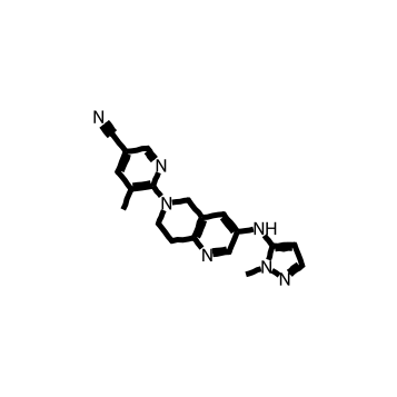 Cc1cc(C#N)cnc1N1CCc2ncc(Nc3ccnn3C)cc2C1